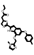 CCOC(=O)CC1CN=C(c2cc3cc(Oc4ccc(C)cc4)cc(OCc4nccn4C)c3[nH]2)S1